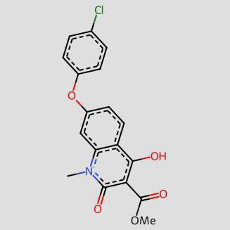 COC(=O)c1c(O)c2ccc(Oc3ccc(Cl)cc3)cc2n(C)c1=O